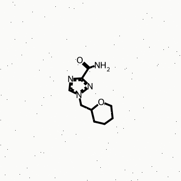 NC(=O)c1ncn(CC2CCCCO2)n1